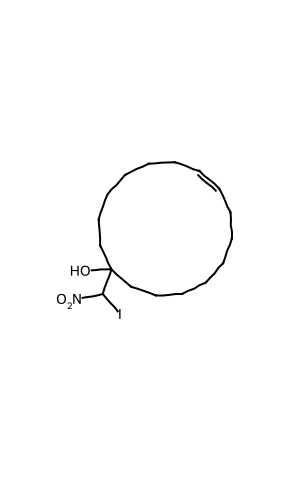 O=[N+]([O-])C(I)C1(O)CCCCCCC=CCCCCCCC1